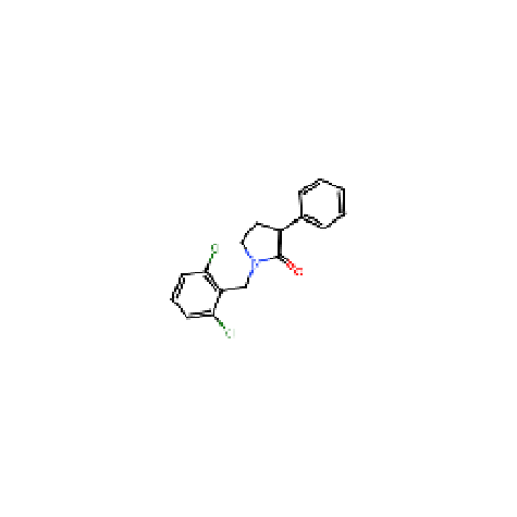 O=C1C(c2ccccc2)CCN1Cc1c(Cl)cccc1Cl